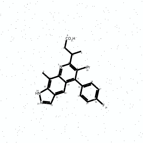 Cc1c2nc(C(C)CC(=O)O)c(C(C)C)c(-c3ccc(F)cc3)c2cc2cn[nH]c12